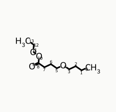 CCCCOCCCC(=O)OOCC